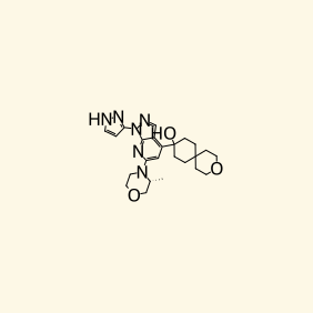 C[C@@H]1COCCN1c1cc(C2(O)CCC3(CCOCC3)CC2)c2cnn(-c3cc[nH]n3)c2n1